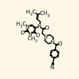 CC(C)=CCN(C(=O)CN1CCN(C(=O)c2ccc(C#N)cc2)CC1)c1cn(C)c(=O)n(C)c1=O